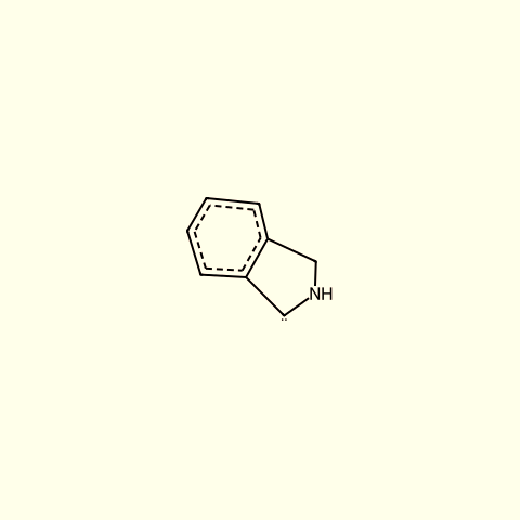 [C]1NCc2ccccc21